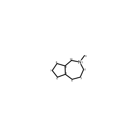 CN1CCCC2CCCC2C1